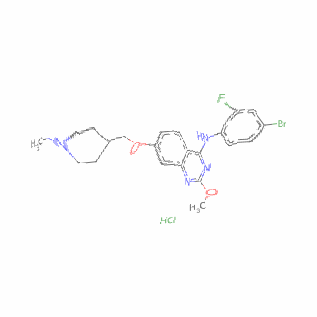 COc1nc(Nc2ccc(Br)cc2F)c2ccc(OCC3CCN(C)CC3)cc2n1.Cl